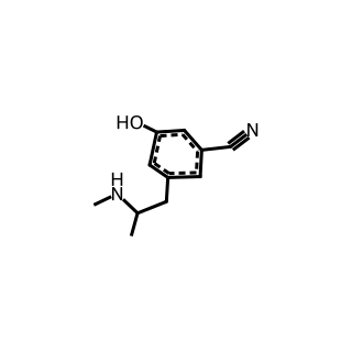 CNC(C)Cc1cc(O)cc(C#N)c1